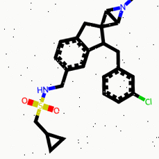 CN1C2C1C21Cc2ccc(CNS(=O)(=O)CC3CC3)cc2C1Cc1cccc(Cl)c1